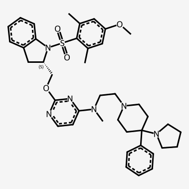 COc1cc(C)c(S(=O)(=O)N2c3ccccc3C[C@H]2COc2nccc(N(C)CCN3CCC(c4ccccc4)(N4CCCC4)CC3)n2)c(C)c1